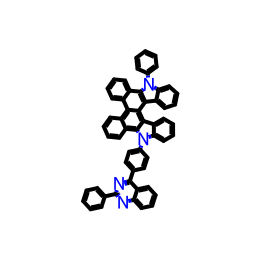 c1ccc(-c2nc(-c3ccc(-n4c5ccccc5c5c6c(c7ccccc7c7c6c6ccccc6n7-c6ccccc6)c6ccccc6c54)cc3)c3ccccc3n2)cc1